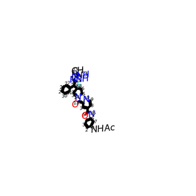 CC(=O)Nc1ccc2oc(-c3ccnc(C(=O)N4CCC(F)(C(C5=NN(C)NN5)c5ccccc5)CC4)c3)nc2c1